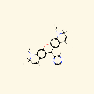 CCN1c2cc3c(cc2C(C)=CC1(C)C)C(c1nccnc1C)c1cc2c(cc1O3)N(CC)C(C)(C)C=C2C